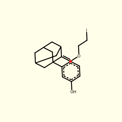 Oc1cccc(C23CC4CC(CC(C4)C2=COCCI)C3)c1